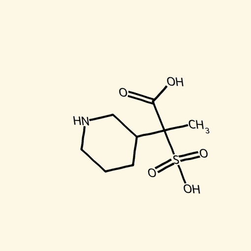 CC(C(=O)O)(C1CCCNC1)S(=O)(=O)O